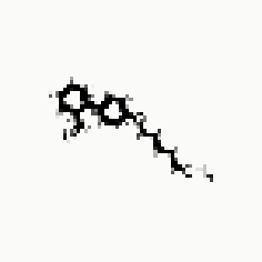 CCCCCCOc1ccc(-c2ccccc2[C]=O)cc1